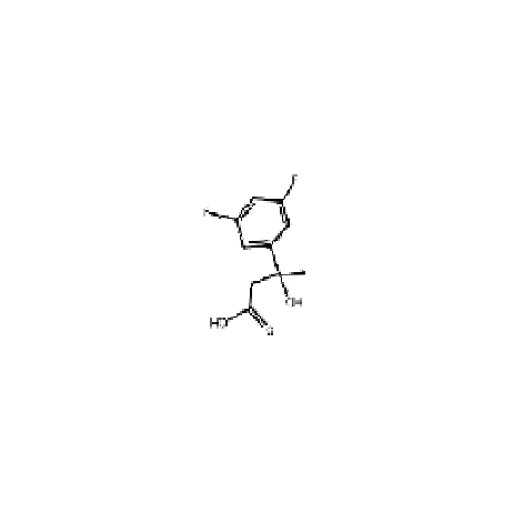 C[C@@](O)(CC(=O)O)c1cc(F)cc(F)c1